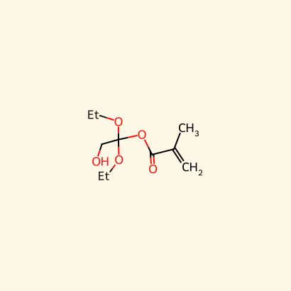 C=C(C)C(=O)OC(CO)(OCC)OCC